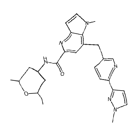 CC1CC(NC(=O)c2cc(Cc3ccc(-c4ccn(C)n4)nc3)c3c(ccn3C)n2)CC(C)O1